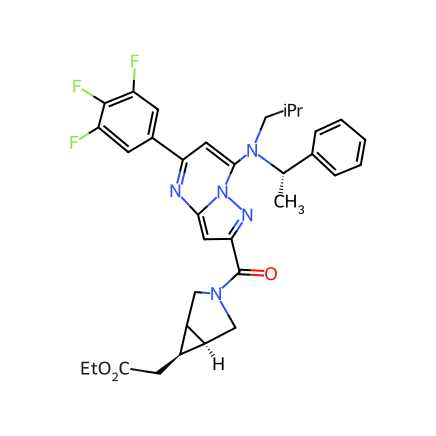 CCOC(=O)C[C@H]1C2CN(C(=O)c3cc4nc(-c5cc(F)c(F)c(F)c5)cc(N(CC(C)C)[C@@H](C)c5ccccc5)n4n3)C[C@H]21